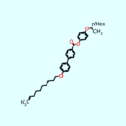 C=CCCCCCCCCOc1ccc(-c2ccc(C(=O)Oc3ccc(O[C@@H](C)CCCCCC)cc3)cc2)cc1